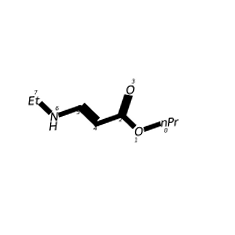 CCCOC(=O)C=CNCC